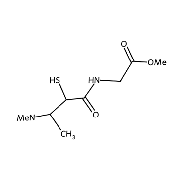 CNC(C)C(S)C(=O)NCC(=O)OC